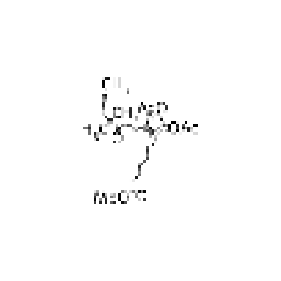 CC#CCC(C)(C)C(=O)C=C[C@@H]1[C@@H](CCCCCCC(=O)OC)[C@@H](OC(C)=O)C[C@H]1OC(C)=O